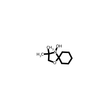 CC1(C)COC2(CCCCC2)N1O